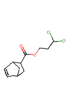 O=C(OCCC(Cl)Cl)C1CC2C=CC1C2